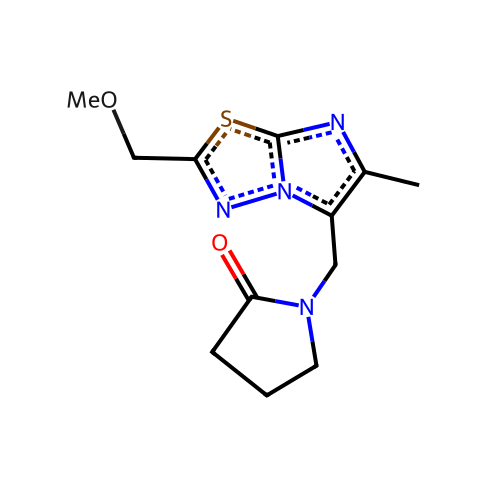 COCc1nn2c(CN3CCCC3=O)c(C)nc2s1